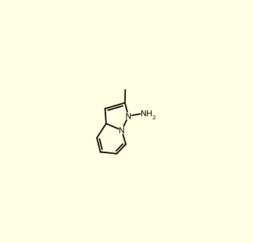 CC1=CC2C=CC=CN2N1N